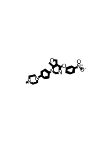 CN1CCN(c2ccc(N3CN=C(Oc4cccc([N+](=O)[O-])c4)C4=C3COC4)cc2)CC1